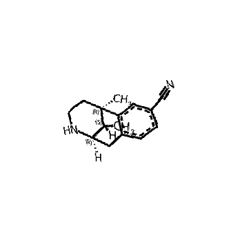 C[C@@H]1[C@H]2Cc3ccc(C#N)cc3[C@]1(C)CCN2